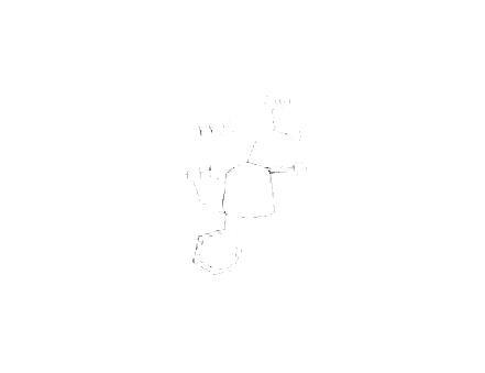 CCC1(c2ccccc2)CCC(=O)C(C(C)C(=O)O)C1